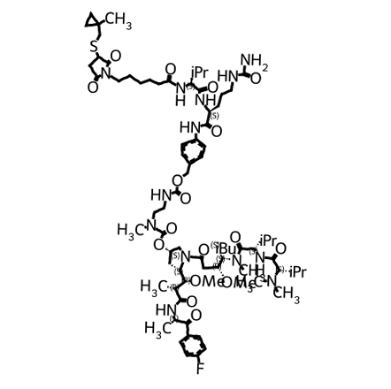 CC[C@H](C)[C@@H]([C@@H](CC(=O)N1C[C@@H](OC(=O)N(C)CCNC(=O)OCc2ccc(NC(=O)[C@H](CCCNC(N)=O)NC(=O)[C@@H](NC(=O)CCCCCN3C(=O)CC(SCC4(C)CC4)C3=O)C(C)C)cc2)C[C@H]1[C@H](OC)[C@@H](C)C(=O)N[C@@H](C)C(=O)c1ccc(F)cc1)OC)N(C)C(=O)[C@@H](NC(=O)[C@H](C(C)C)N(C)C)C(C)C